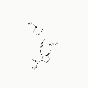 CN1CCN(CC#CCN2C(=O)CCC2C(N)=O)CC1.O.O